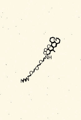 Cc1c(CC(=O)NCCOCCOCCOCCN=[N+]=[N-])c(=O)oc2c3c4c(cc12)CCCN4CCC3